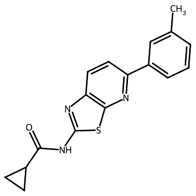 Cc1cccc(-c2ccc3nc(NC(=O)C4CC4)sc3n2)c1